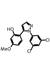 COc1ccc(-c2ccnn2-c2cc(Cl)cc(Cl)c2)c(O)c1